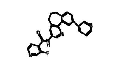 O=C(Nc1cnc2c(c1)CCCc1ccc(-c3cccnc3)cc1-2)c1ccncc1F